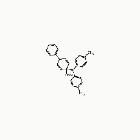 COC1(N(c2ccc(C)cc2)c2ccc(C)cc2)C=CC(c2ccccc2)C=C1